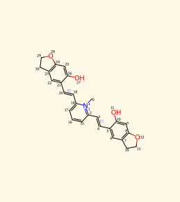 C[n+]1c(/C=C/c2cc3c(cc2O)OCC3)cccc1/C=C/c1cc2c(cc1O)OCC2